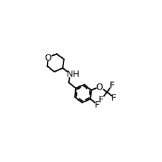 Fc1ccc(CNC2CCOCC2)cc1OC(F)(F)F